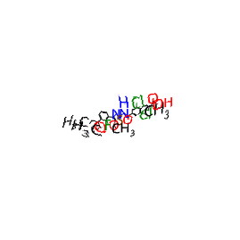 CCCC(OC)c1cccc(-c2nc(NC(=O)c3cc(Cl)c(C=C(C)C(=O)O)c(Cl)c3)sc2OC)c1F